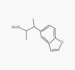 CNC(C)C(C)c1ccc2occc2c1